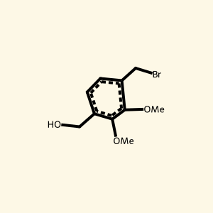 COc1c(CO)ccc(CBr)c1OC